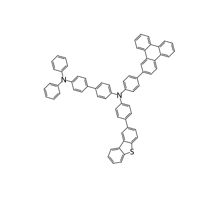 c1ccc(N(c2ccccc2)c2ccc(-c3ccc(N(c4ccc(-c5ccc6sc7ccccc7c6c5)cc4)c4ccc(-c5ccc6c7ccccc7c7ccccc7c6c5)cc4)cc3)cc2)cc1